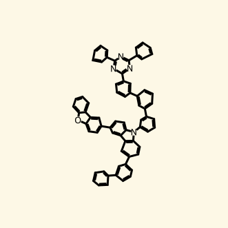 c1ccc(-c2cccc(-c3ccc4c(c3)c3cc(-c5ccc6oc7ccccc7c6c5)ccc3n4-c3cccc(-c4cccc(-c5cccc(-c6nc(-c7ccccc7)nc(-c7ccccc7)n6)c5)c4)c3)c2)cc1